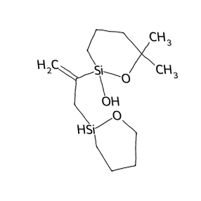 C=C(C[SiH]1CCCCO1)[Si]1(O)CCCC(C)(C)O1